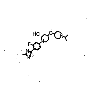 Cc1noc(-c2ccc(N3CCC(OC4CCN(C(C)C)CC4)CC3)cc2F)n1.Cl